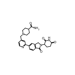 NC(=O)C1CCN(Cc2ccnc(-c3ccc4c(c3)CN(C3CCC(=O)NC3=O)C4=O)c2)CC1